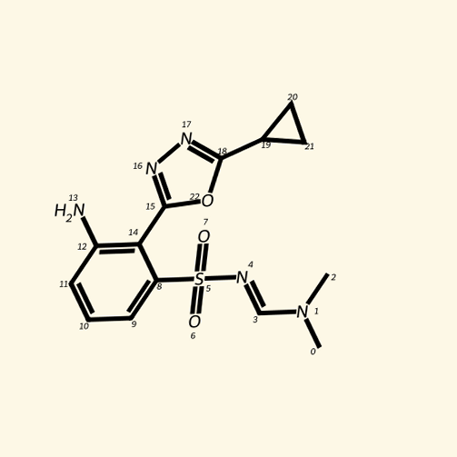 CN(C)C=NS(=O)(=O)c1cccc(N)c1-c1nnc(C2CC2)o1